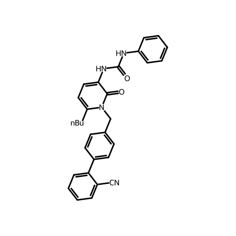 CCCCc1ccc(NC(=O)Nc2ccccc2)c(=O)n1Cc1ccc(-c2ccccc2C#N)cc1